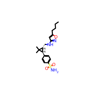 CCCCc1cc(NC[C@@H]2[C@@H](c3ccc(S(N)(=O)=O)cc3)C2(C)C)no1